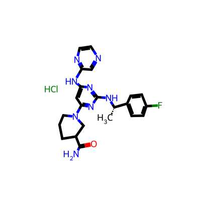 C[C@H](Nc1nc(Nc2cnccn2)cc(N2CCCC(C(N)=O)C2)n1)c1ccc(F)cc1.Cl